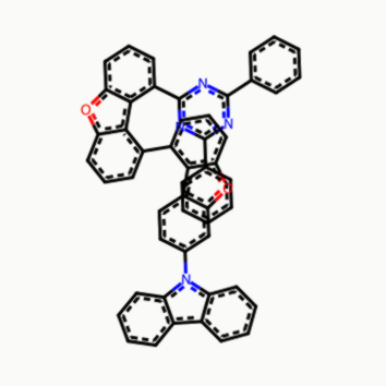 c1ccc(-c2nc(-c3ccccc3)nc(-c3cccc4oc5cccc(-c6cccc7oc8cc(-n9c%10ccccc%10c%10ccccc%109)ccc8c67)c5c34)n2)cc1